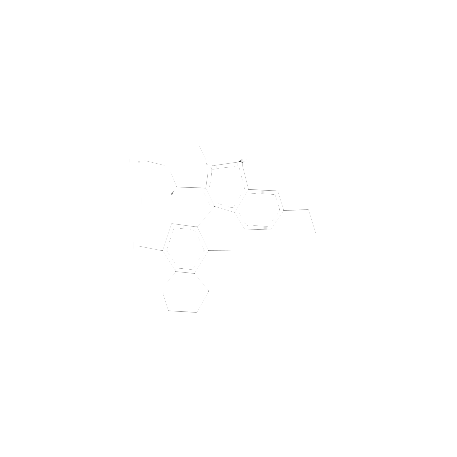 Cc1c(-c2c([C@H](OC(C)(C)C)C(=O)O)n(C)c(=O)c3cc(CC(C)C)ccc23)cc(F)c2c1CCCO2